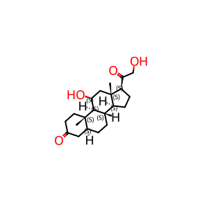 C[C@]12CCC(=O)C[C@@H]1CC[C@@H]1[C@@H]2[C@@H](O)C[C@]2(C)[C@@H](C(=O)CO)CC[C@@H]12